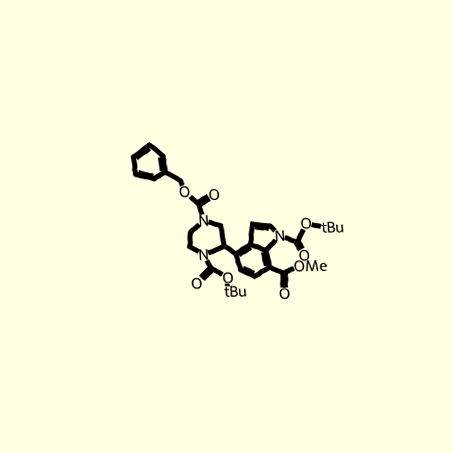 COC(=O)c1ccc(C2CN(C(=O)OCc3ccccc3)CCN2C(=O)OC(C)(C)C)c2ccn(C(=O)OC(C)(C)C)c12